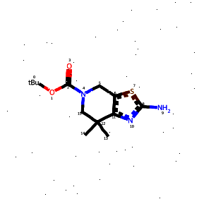 CC(C)(C)OC(=O)N1Cc2sc(N)nc2C(C)(C)C1